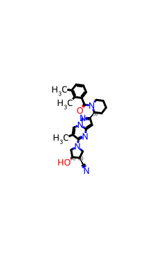 Cc1cn2nc([C@@H]3CCCCN3C(=O)c3cccc(C)c3C)cc2nc1N1C[C@@H](C#N)[C@@H](O)C1